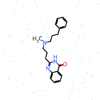 CN(CCCc1ccccc1)CCCc1nc2ccccc2c(=O)[nH]1